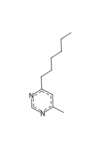 CCCCCCc1cc(C)ncn1